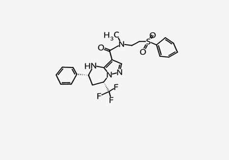 CN(CCS(=O)(=O)c1ccccc1)C(=O)c1cnn2c1N[C@@H](c1ccccc1)C[C@H]2C(F)(F)F